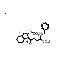 O=C(O)O[C@H]1C[C@@H]2CCCC[C@@H]2N1C(=O)CCC(CCc1ccccc1)C(=O)O